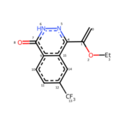 C=C(OCC)c1n[nH]c(=O)c2ccc(C(F)(F)F)cc12